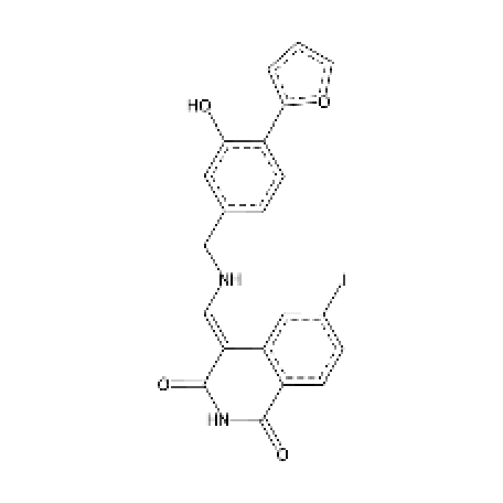 O=C1NC(=O)c2ccc(I)cc2/C1=C\NCc1ccc(-c2ccco2)c(O)c1